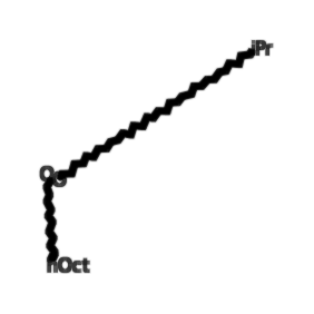 CCCCCCCCC=CCCCCCCCCCC(=O)OCCCCCCCCCCCCCCCCCCCCCCCCCCCCCCCCC(C)C